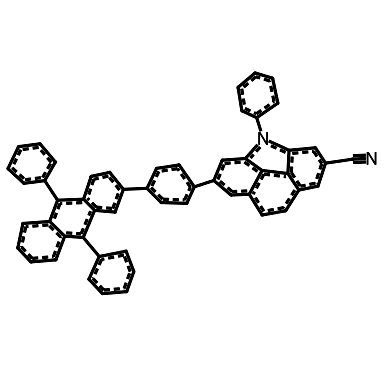 N#Cc1cc2ccc3cc(-c4ccc(-c5ccc6c(-c7ccccc7)c7ccccc7c(-c7ccccc7)c6c5)cc4)cc4c3c2c(c1)n4-c1ccccc1